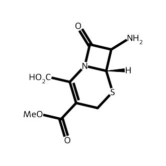 COC(=O)C1=C(C(=O)O)N2C(=O)C(N)[C@@H]2SC1